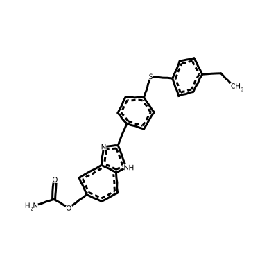 CCc1ccc(Sc2ccc(-c3nc4cc(OC(N)=O)ccc4[nH]3)cc2)cc1